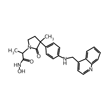 CC(C(=O)NO)N1CCC(C)(c2ccc(NCc3ccnc4ccccc34)cc2)C1=O